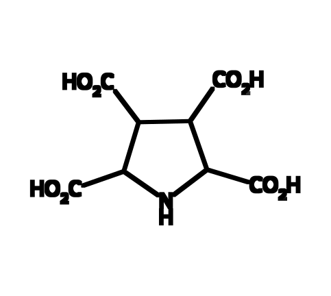 O=C(O)C1NC(C(=O)O)C(C(=O)O)C1C(=O)O